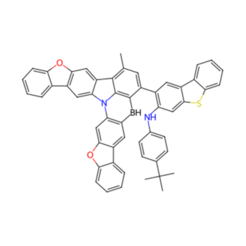 Cc1cc(-c2cc3c(cc2Nc2ccc(C(C)(C)C)cc2)sc2ccccc23)c2c3c1c1cc4oc5ccccc5c4cc1n3-c1cc3oc4ccccc4c3cc1B2